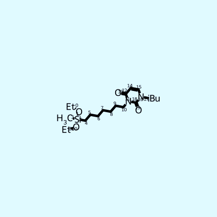 CCO[Si](C)(CCCCCCCn1c(=O)ccn(C(C)CC)c1=O)OCC